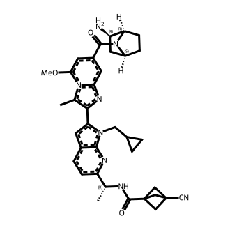 COc1cc(C(=O)N2[C@H]3CC[C@@H]2[C@H](N)C3)cc2nc(-c3cc4ccc([C@@H](C)NC(=O)C56CC(C#N)(C5)C6)nc4n3CC3CC3)c(C)n12